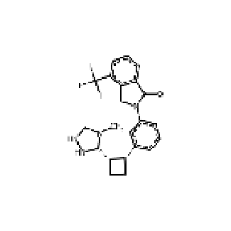 CN1CNNC1[C@H]1CC[C@H]1c1cccc(N2Cc3c(cccc3C(F)(I)I)C2=O)c1